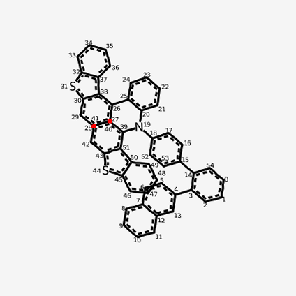 c1ccc(-c2ccc3ccccc3c2)c(-c2ccc(N(c3ccccc3-c3cccc4sc5ccccc5c34)c3cccc4sc5ccccc5c34)cc2)c1